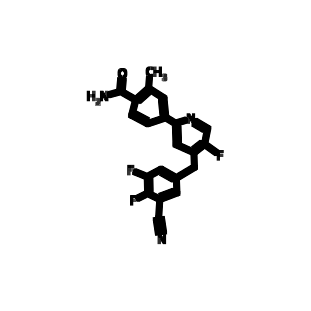 Cc1cc(-c2cc(Cc3cc(F)c(F)c(C#N)c3)c(F)cn2)ccc1C(N)=O